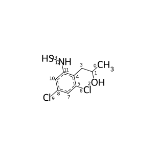 CC(O)Cc1c(Cl)cc(Cl)cc1NS